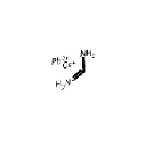 NC=[NH2+].[Cs+].[Pb+2]